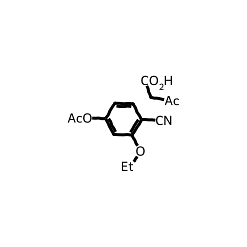 CC(=O)CC(=O)O.CCOc1cc(OC(C)=O)ccc1C#N